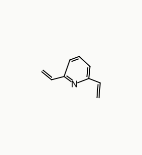 C=Cc1cccc(C=C)n1